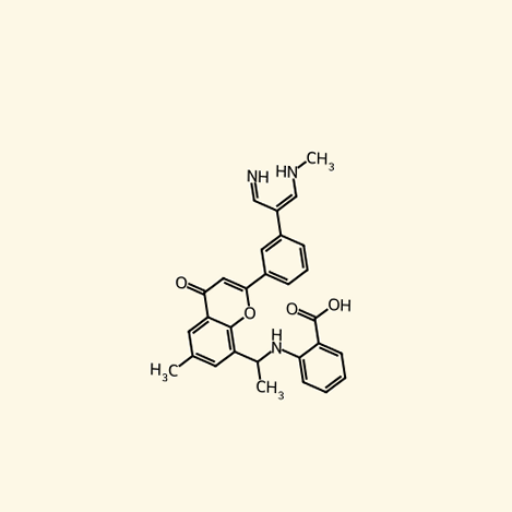 CN/C=C(\C=N)c1cccc(-c2cc(=O)c3cc(C)cc(C(C)Nc4ccccc4C(=O)O)c3o2)c1